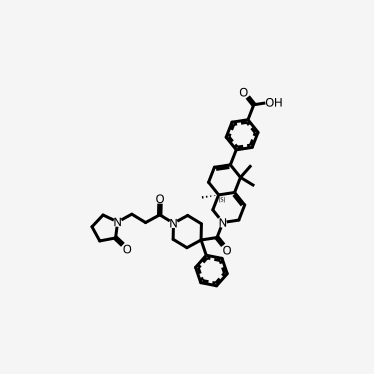 CC1(C)C(c2ccc(C(=O)O)cc2)=CC[C@]2(C)CN(C(=O)C3(c4ccccc4)CCN(C(=O)CCN4CCCC4=O)CC3)CC=C12